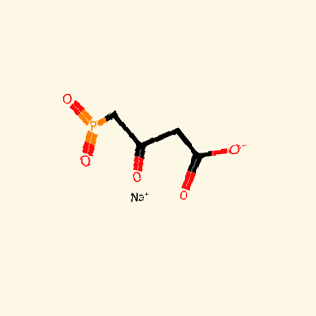 O=C([O-])CC(=O)CP(=O)=O.[Na+]